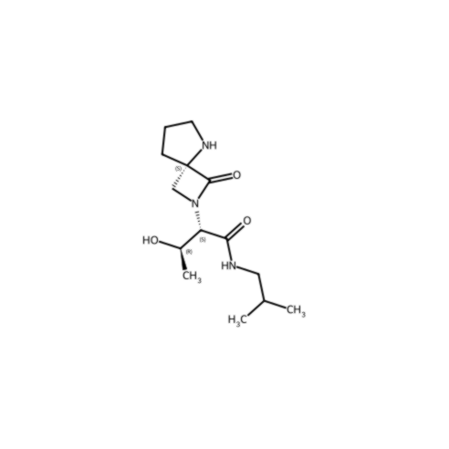 CC(C)CNC(=O)[C@H]([C@@H](C)O)N1C[C@@]2(CCCN2)C1=O